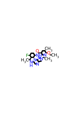 CCOc1ncc(C(=O)Nc2ccc(F)c([C@H](C)Nc3cnc4cn(CC)nc4n3)c2)cc1C